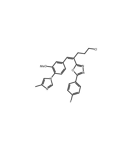 COc1cc(C=C(CCCCl)c2nnc(-c3ccc(F)cc3)o2)ccc1-n1cnc(C)c1